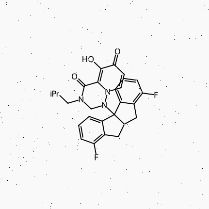 CC(C)CN1CN(C23c4cccc(F)c4CC2Cc2c(F)cccc23)n2ccc(=O)c(O)c2C1=O